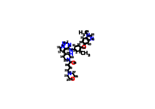 Cc1cc(Nc2ncnn3ccc(C4CCN(C(=O)/C=C/CN5CCOCC5)CC4)c23)ccc1Oc1ccc2c(c1)ncn2C